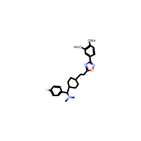 COc1ccc(-c2noc(CCC3CCC(C(c4ccc(F)cc4)N(C)C)CC3)n2)cc1OC